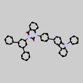 O=c1c2ccccc2n(-c2ccc(-c3ccc4c(c3)c3ccccc3n4-c3ccccc3)cc2)c(=O)n1-c1cc(-c2ccccc2)cc(-c2ccccc2)c1